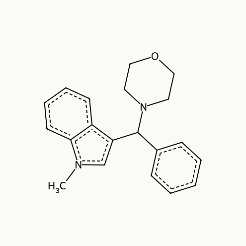 Cn1cc(C(c2ccccc2)N2CCOCC2)c2ccccc21